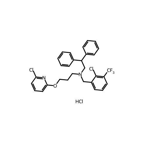 Cl.FC(F)(F)c1cccc(CN(CCCOc2cccc(Cl)n2)CC(c2ccccc2)c2ccccc2)c1Cl